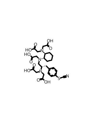 N#CSc1ccc(C[C@@H](CN(CC(=O)O)[C@H]2CCCC[C@@H]2N(CC(=O)O)CC(=O)O)N(CC(=O)O)CC(=O)O)cc1